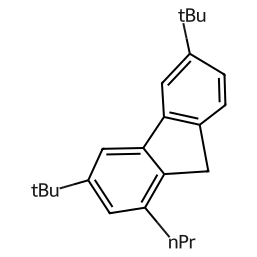 CCCc1cc(C(C)(C)C)cc2c1Cc1ccc(C(C)(C)C)cc1-2